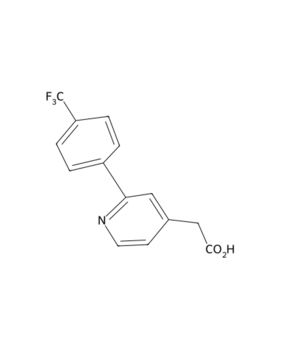 O=C(O)Cc1ccnc(-c2ccc(C(F)(F)F)cc2)c1